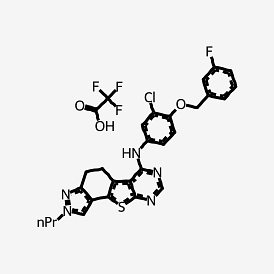 CCCn1cc2c(n1)CCc1c-2sc2ncnc(Nc3ccc(OCc4cccc(F)c4)c(Cl)c3)c12.O=C(O)C(F)(F)F